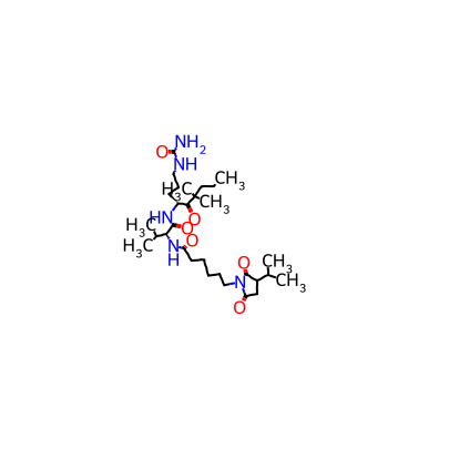 CCCC(C)(C)C(=O)[C@H](CCCNC(N)=O)NC(=O)[C@@H](NC(=O)CCCCCN1C(=O)CC(C(C)C)C1=O)C(C)C